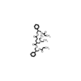 C=CC(=O)OCC(COC(=O)CCC(CN(CC)CC)C(=O)OCC(COC(=O)C=C)c1ccccc1)c1ccccc1